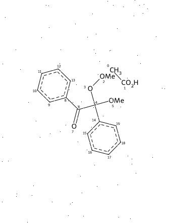 CC(=O)O.COOC(OC)(C(=O)c1ccccc1)c1ccccc1